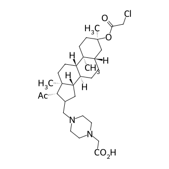 CC(=O)[C@H]1C(CN2CCN(CC(=O)O)CC2)C[C@H]2[C@@H]3CC[C@H]4C[C@](C)(OC(=O)CCl)CC[C@]4(C)[C@H]3CC[C@]12C